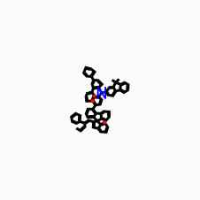 C/C=C\C(=C/C1=Cc2ccccc2C12c1ccccc1-c1c(-c3ccc(N(c4ccc5c(c4)C(C)(C)c4ccccc4-5)c4ccc(-c5ccccc5)cc4-c4ccccc4)cc3)cccc12)c1ccccc1